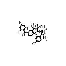 C[C@H](Nc1nc2c(c(=O)n1N(C)C)CN(C(=O)c1c(F)cc(F)cc1F)CC2)c1ccc(Cl)cc1